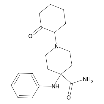 NC(=O)C1(Nc2ccccc2)CCN(C2CCCCC2=O)CC1